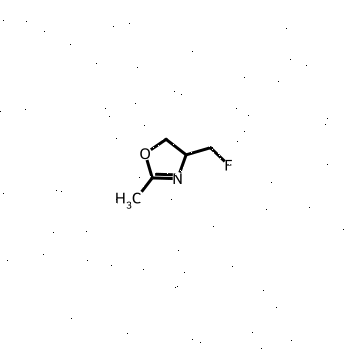 CC1=NC(CF)CO1